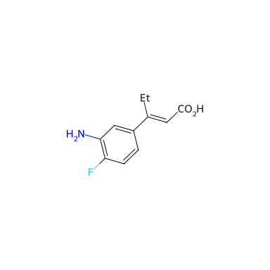 CC/C(=C\C(=O)O)c1ccc(F)c(N)c1